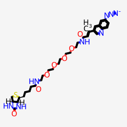 C/C(=C\C(=O)NCCOCCOCCOCCOCCNC(=O)CCCC[C@@H]1SC[C@@H]2NC(=O)N[C@@H]21)c1cnc2ccc(N=[N+]=[N-])cc2c1